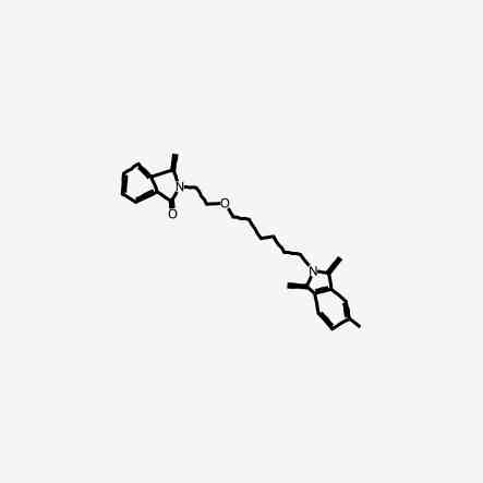 C=C1c2ccccc2C(=O)N1CCOCCCCCCn1c(=C)c2ccc(C)cc2c1=C